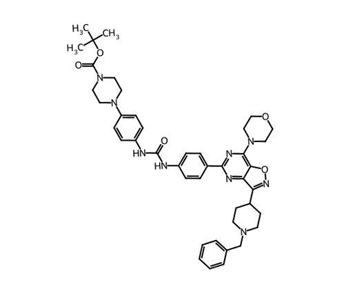 CC(C)(C)OC(=O)N1CCN(c2ccc(NC(=O)Nc3ccc(-c4nc(N5CCOCC5)c5onc(C6CCN(Cc7ccccc7)CC6)c5n4)cc3)cc2)CC1